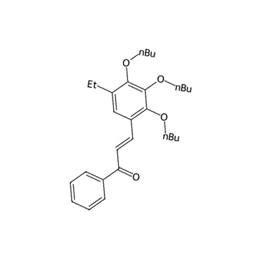 CCCCOc1c(C=CC(=O)c2ccccc2)cc(CC)c(OCCCC)c1OCCCC